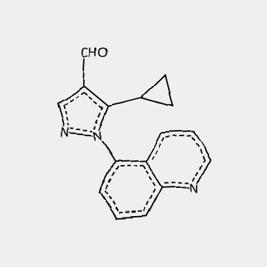 O=Cc1cnn(-c2cccc3ncccc23)c1C1CC1